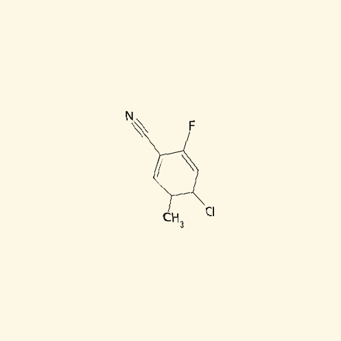 CC1C=C(C#N)C(F)=CC1Cl